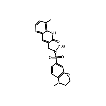 CCCCN(Cc1cc2cccc(C)c2[nH]c1=O)S(=O)(=O)c1ccc2c(c1)OCCN2C